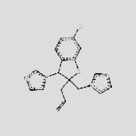 C=CCC1(Cn2ccnc2)Sc2cc(Cl)ccc2C1n1ccnc1